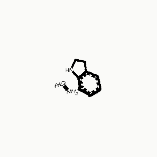 NO.c1ccc2c(c1)CCN2